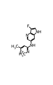 CC/C(C)=C\C(=N/C)Nc1cnc2c(F)c[nH]c2c1